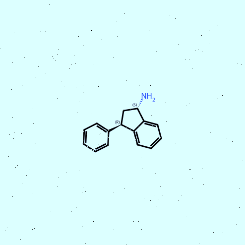 N[C@H]1C[C@H](c2ccccc2)c2ccccc21